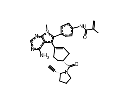 C#C[C@H]1CCCN1C(=O)[C@H]1CC=C(c2c(-c3ccc(NC(=O)C(=C)C)cc3)n(C)c3ncnc(N)c23)CC1